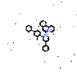 Cc1cc(-c2ccccc2)ccc1-c1cc(-c2ccccc2)cc[n+]1-c1cc2ccccc2c2cccc[n+]12